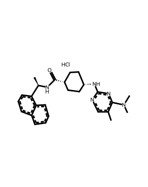 Cc1cnc(N[C@H]2CC[C@@H](C(=O)N[C@H](C)c3cccc4ccccc34)CC2)nc1N(C)C.Cl